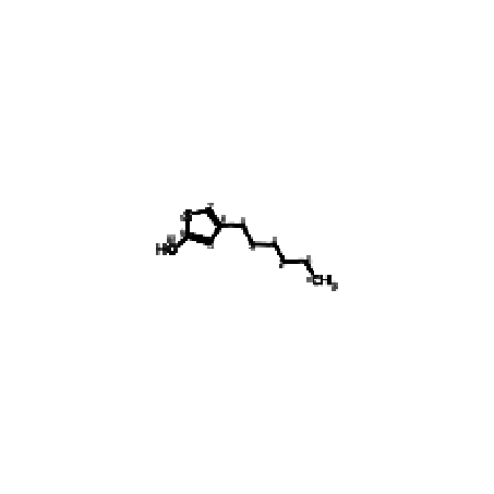 CCCCCCc1csc(O)c1